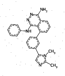 Cc1ncc(-c2cccc(-c3cccc4c(N)nnc(Nc5ccccc5)c34)c2)n1C